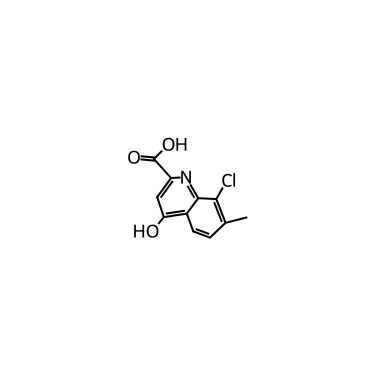 Cc1ccc2c(O)cc(C(=O)O)nc2c1Cl